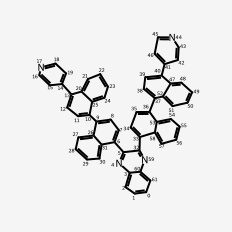 c1ccc2nc(-c3ccc(-c4ccc(-c5ccncc5)c5ccccc45)c4ccccc34)c(-c3ccc(-c4ccc(-c5ccncc5)c5ccccc45)c4ccccc34)nc2c1